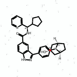 O=C(N[C@@H](c1ccccn1)C1CCCC1)c1ccc2[nH]nc(-c3ccc(N4[C@@H]5CC[C@H]4C[C@H](O)C5)cc3)c2c1